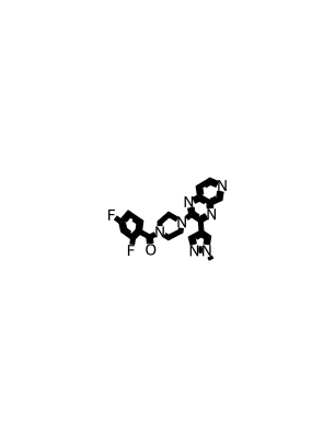 Cn1cc(-c2nc3cnccc3nc2N2CCN(C(=O)c3ccc(F)cc3F)CC2)cn1